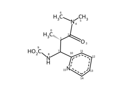 C[C@H](C(=O)N(C)C)C(NC(=O)O)c1ccccn1